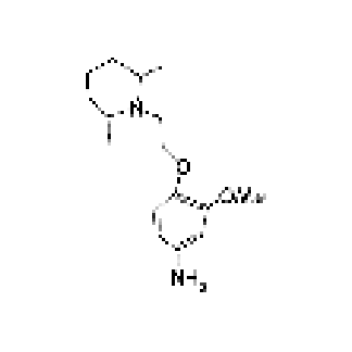 COc1cc(N)ccc1OCCN1C(C)CCCC1C